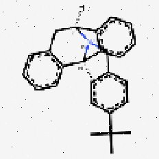 CC(C)(C)c1ccc(C[N@+]2(C)[C@H]3Cc4ccccc4[C@]2(C)c2ccccc23)cc1